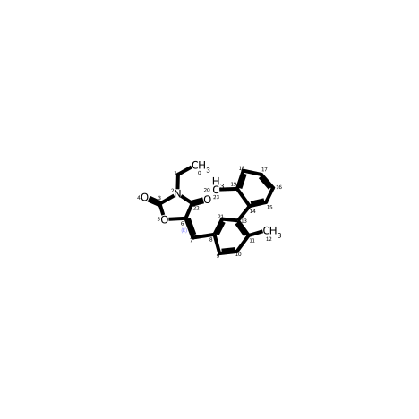 CCN1C(=O)O/C(=C/c2ccc(C)c(-c3ccccc3C)c2)C1=O